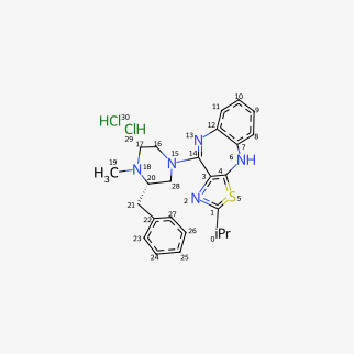 CC(C)c1nc2c(s1)Nc1ccccc1N=C2N1CCN(C)[C@@H](Cc2ccccc2)C1.Cl.Cl